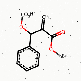 C=C(C(=O)OCCCC)C(OC(=O)O)c1ccccc1